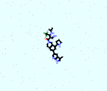 Cc1c[nH]c2ncc(-c3cc4c(c(C5CCCN5)c3)CN(C(=O)/C(C=N)=C(/NC(C)C)C(F)(F)F)CC4)cc12